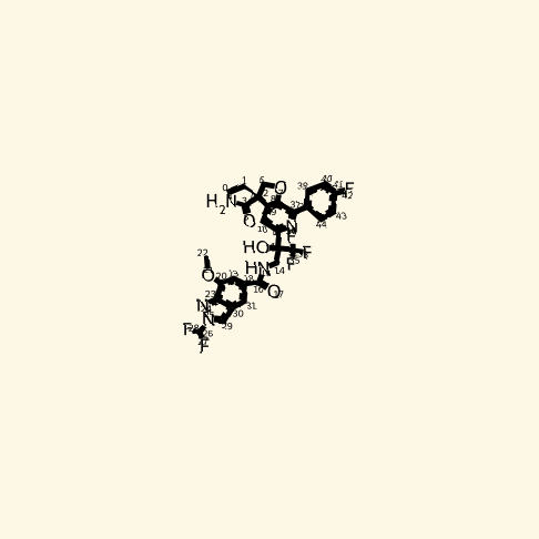 CC[C@@]1(C(N)=O)COc2c1cc(C(O)(CNC(=O)c1cc(OC)c3nn(C(F)F)cc3c1)C(F)(F)F)nc2-c1ccc(F)cc1